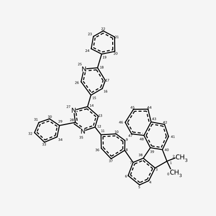 CC1(C)c2cccc(-c3ccc(-c4cc(-c5ccc(-c6ccccc6)nc5)nc(-c5ccccc5)n4)cc3)c2-c2c1ccc1ccccc21